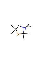 CC(=O)N1CC(C)(C)SC1(C)C